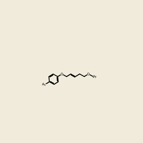 CC(=O)c1ccc(OCC=CCCOC(C)C)cc1